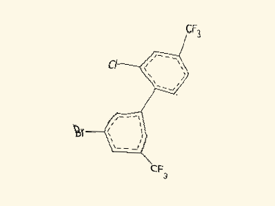 FC(F)(F)c1cc(Br)cc(-c2[c]cc(C(F)(F)F)cc2Cl)c1